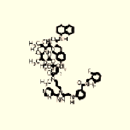 C[C@@H](C(=O)NC(C(=O)N1Cc2cc(OCCC(=O)N(C)CCCn3c(CNc4cccc(C(=O)NCc5c(F)cccc5F)c4)nnc3-c3ccncn3)ccc2C[C@H]1C(=O)N[C@@H]1CCCc2ccccc21)C(C)(C)C)N(C)C(=O)OC(C)(C)C